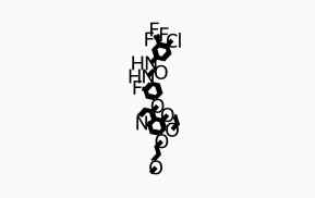 COCCCOc1cc2nccc(Oc3ccc(NC(=O)Nc4ccc(Cl)c(C(F)(F)F)c4)c(F)c3)c2c2c1OCCO2